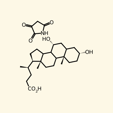 C[C@H](CCC(=O)O)[C@H]1CCC2C3C(CC[C@@]21C)[C@@]1(C)CC[C@@H](O)CC1C[C@H]3O.O=C1CC(=O)C(=O)N1